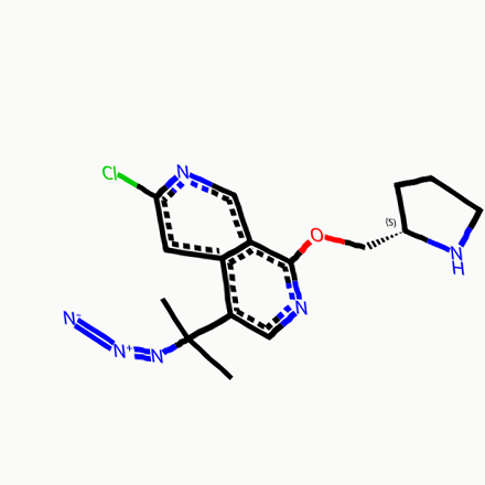 CC(C)(N=[N+]=[N-])c1cnc(OC[C@@H]2CCCN2)c2cnc(Cl)cc12